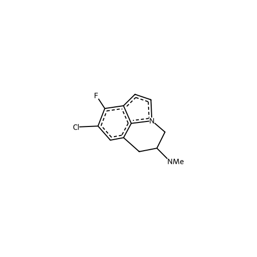 CNC1Cc2cc(Cl)c(F)c3ccn(c23)C1